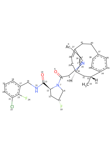 CC(=O)c1cn(CC(=O)N2C[C@H](F)C[C@H]2C(=O)NCc2cccc(Cl)c2F)c2c1C1=CC[C@@H]2C[C@@H](C)c2ccc(cc2)CC1